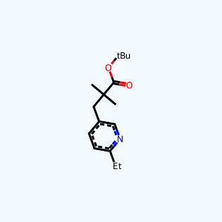 CCc1ccc(CC(C)(C)C(=O)OC(C)(C)C)cn1